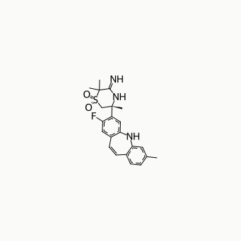 Cc1ccc2c(c1)Nc1cc([C@]3(C)CS(=O)(=O)C(C)(C)C(=N)N3)c(F)cc1C=C2